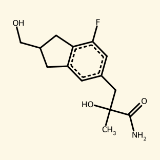 CC(O)(Cc1cc(F)c2c(c1)CC(CO)C2)C(N)=O